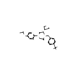 O=C1[C@@H](C2COC2)N(Cc2ccc(C(F)(F)F)cc2)C(=O)CN1c1ncc(OC(F)F)cc1F